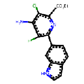 CCOC(=O)c1nc(-c2ccc3cc[nH]c3c2)c(F)c(N)c1Cl